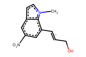 Cn1ccc2cc([N+](=O)[O-])cc(/C=C/CO)c21